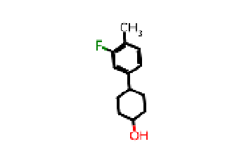 Cc1ccc(C2CCC(O)CC2)cc1F